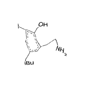 CCC(C)c1cc(I)c(O)c(CN)c1